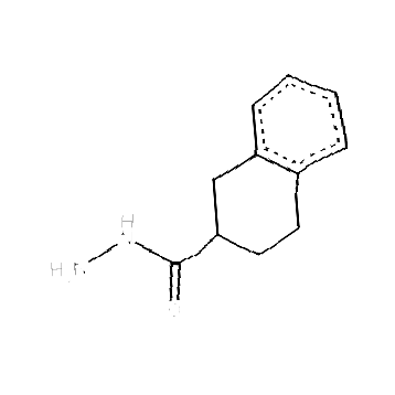 NNC(=O)C1CCc2ccccc2C1